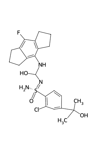 CC(C)(O)c1ccc([S@@](N)(=O)=NC(O)Nc2c3c(c(F)c4c2CCC4)CCC3)c(Cl)c1